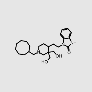 O=c1[nH]c2ccccc2n1CCC1CCN(CC2CCCCCCC2)CC1(CO)CO